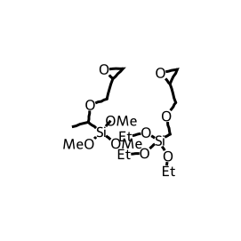 CCO[Si](COCC1CO1)(OCC)OCC.CO[Si](OC)(OC)C(C)OCC1CO1